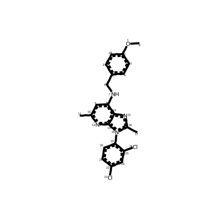 COc1ccc(CNc2cc(C)nc3c2nc(C)n3-c2ccc(Cl)cc2Cl)cc1